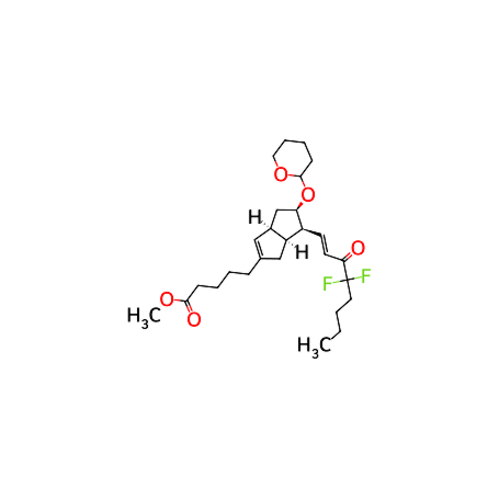 CCCCC(F)(F)C(=O)C=C[C@H]1[C@H]2CC(CCCCC(=O)OC)=C[C@H]2C[C@H]1OC1CCCCO1